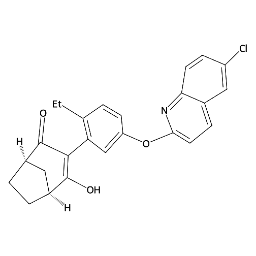 CCc1ccc(Oc2ccc3cc(Cl)ccc3n2)cc1C1=C(O)[C@H]2CC[C@H](C2)C1=O